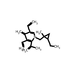 C=CC1=CN(CC2(C)CC2CC)C(C(=C)C)=C(C=C)C1=C